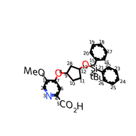 COc1cnc(C(=O)O)cc1OC1CCC(O[Si](c2ccccc2)(c2ccccc2)C(C)(C)C)C1